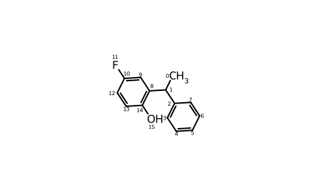 CC(c1ccccc1)c1cc(F)ccc1O